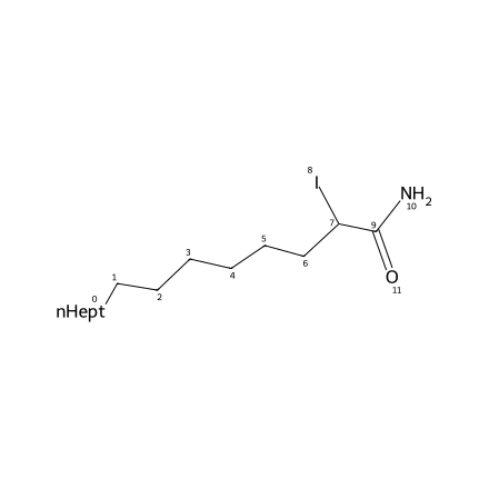 CCCCCCCCCCCCCC(I)C(N)=O